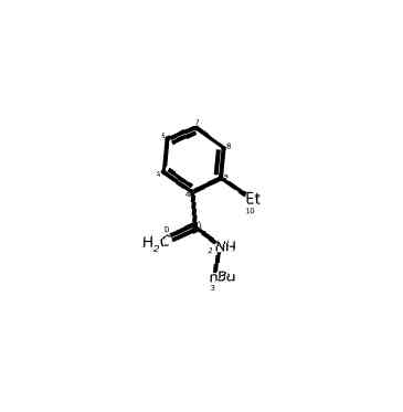 C=C(NCCCC)c1ccccc1CC